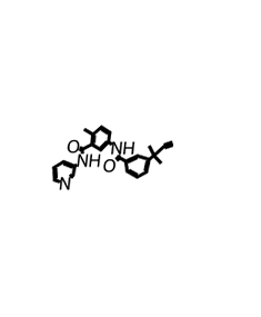 C#CC(C)(C)c1cccc(C(=O)Nc2ccc(C)c(C(=O)Nc3cccnc3)c2)c1